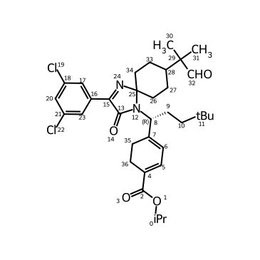 CC(C)OC(=O)C1=CC=C([C@@H](CCC(C)(C)C)N2C(=O)C(c3cc(Cl)cc(Cl)c3)=NC23CCC(C(C)(C)C=O)CC3)CC1